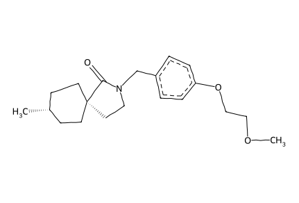 COCCOc1ccc(CN2CC[C@]3(CC[C@@H](C)CC3)C2=O)cc1